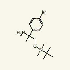 CC(N)(CO[Si](C)(C)C(C)(C)C)c1ccc(Br)cc1